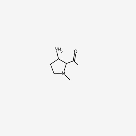 CC(=O)C1C(N)CCN1C